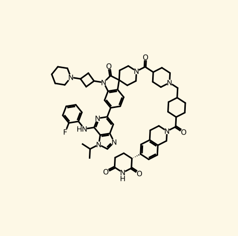 CC(C)n1cnc2cc(-c3ccc4c(c3)N(C3CC(N5CCCCC5)C3)C(=O)C43CCN(C(=O)C4CCN(CC5CCC(C(=O)N6CCc7cc([C@H]8CCC(=O)NC8=O)ccc7C6)CC5)CC4)CC3)nc(Nc3ccccc3F)c21